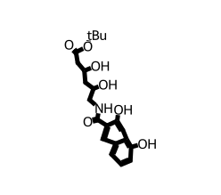 CC(C)(C)OC(=O)CC(O)CC(O)CNC(=O)c1cc2cccc(O)c2cc1O